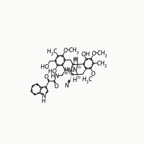 COc1c(C)c(OC)c2c(c1O)[C@H]1[C@@H]3Cc4c(OC)c(C)c(CO)c(O)c4[C@H](CNC(=O)C(=O)c4c[nH]c5ccccc45)N3[C@@H](C#N)[C@H](C2)N1C